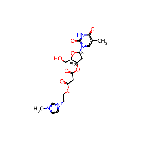 Cc1cn([C@H]2C[C@@H](OC(=O)CC(=O)OCC[n+]3ccn(C)c3)[C@@H](CO)O2)c(=O)[nH]c1=O